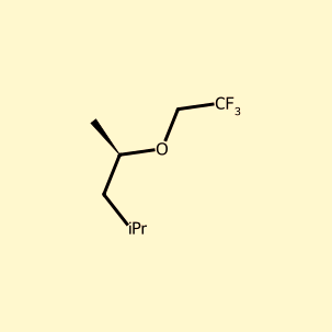 CC(C)C[C@@H](C)OCC(F)(F)F